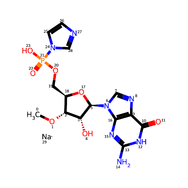 CO[C@H]1[C@@H](O)[C@H](n2cnc3c(=O)[nH]c(N)nc32)O[C@@H]1COP(=O)(O)n1ccnc1.[Na]